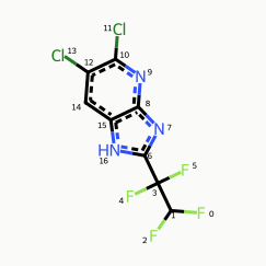 FC(F)C(F)(F)c1nc2nc(Cl)c(Cl)cc2[nH]1